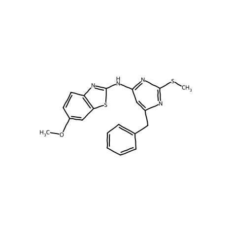 COc1ccc2nc(Nc3cc(Cc4ccccc4)nc(SC)n3)sc2c1